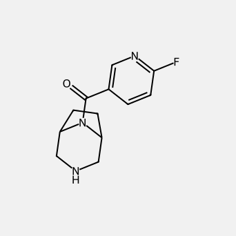 O=C(c1ccc(F)nc1)N1C2CCC1CNC2